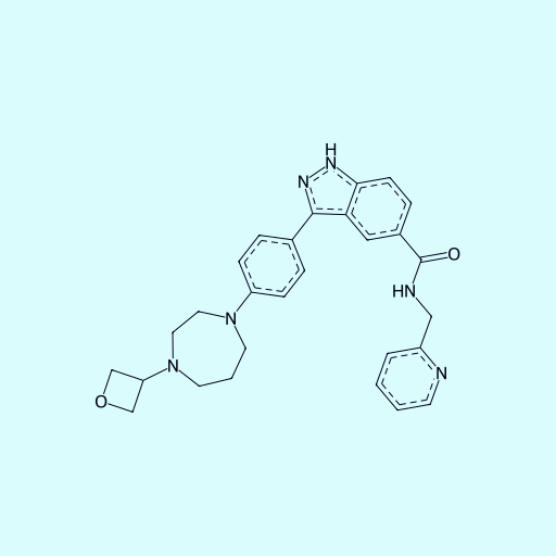 O=C(NCc1ccccn1)c1ccc2[nH]nc(-c3ccc(N4CCCN(C5COC5)CC4)cc3)c2c1